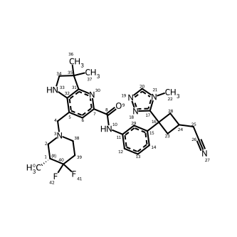 C[C@@H]1CN(Cc2cc(C(=O)Nc3cccc(C4(c5nncn5C)CC(CC#N)C4)c3)nc3c2NCC3(C)C)CCC1(F)F